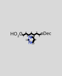 CCCCCCCCCCCCCCCCCC(=O)O.c1cncnc1